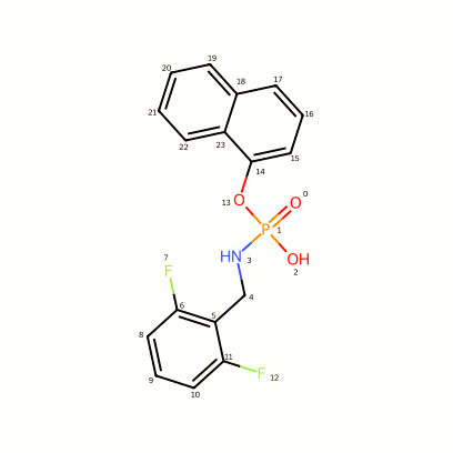 O=P(O)(NCc1c(F)cccc1F)Oc1cccc2ccccc12